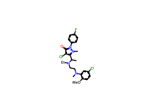 CCN(CCN(C)c1cc(Cl)ccc1OC)C(C)c1c(Cl)c(=O)n(-c2ccc(F)cc2)n1C